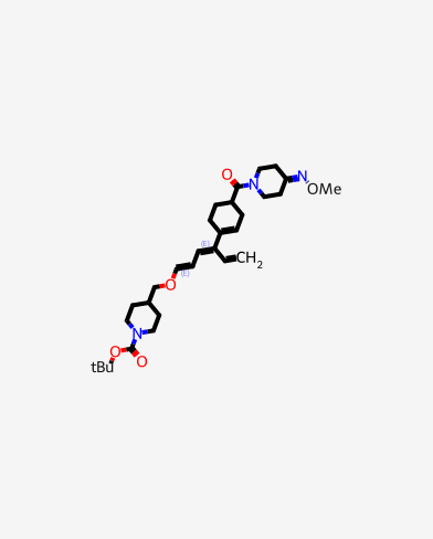 C=C/C(=C\C=C\OCC1CCN(C(=O)OC(C)(C)C)CC1)C1=CCC(C(=O)N2CCC(=NOC)CC2)CC1